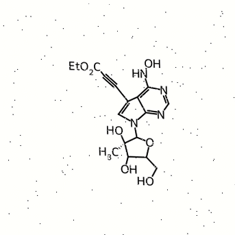 CCOC(=O)C#Cc1cn(C2OC(CO)C(O)[C@@]2(C)O)c2ncnc(NO)c12